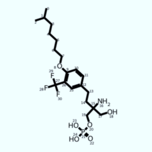 CC(C)CCCCCOc1ccc(CCC(N)(CO)COP(=O)(O)O)cc1C(F)(F)F